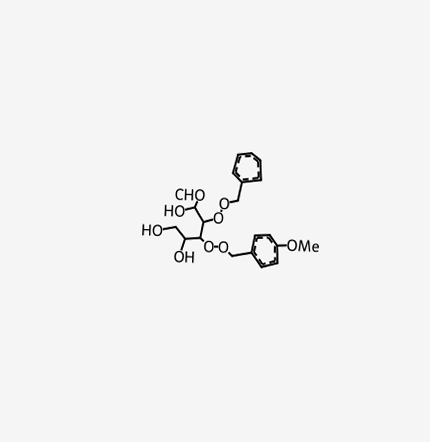 COc1ccc(COOC(C(O)CO)C(OOCc2ccccc2)C(O)C=O)cc1